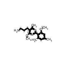 COc1cc(C)cc(C)c1-c1nc(C)c(CCCN)c(OC)n1